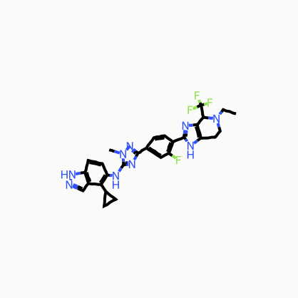 CCN1CCc2[nH]c(-c3ccc(-c4nc(Nc5ccc6[nH]ncc6c5C5CC5)n(C)n4)cc3F)nc2C1C(F)(F)F